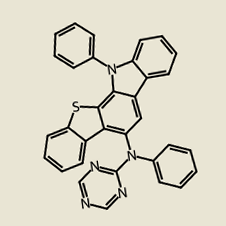 c1ccc(N(c2ncncn2)c2cc3c4ccccc4n(-c4ccccc4)c3c3sc4ccccc4c23)cc1